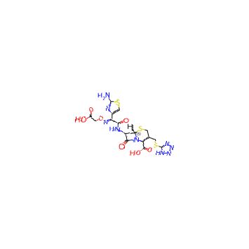 Nc1nc(C(=NOCC(=O)O)C(=O)NC2C(=O)N3C(C(=O)O)=C(CSc4nnn[nH]4)CS[C@@H]23)cs1